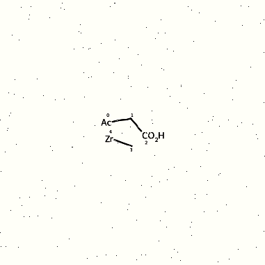 CC(=O)CC(=O)O.[CH3][Zr]